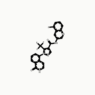 O=C(Nc1cnc2cccc(F)c2c1)c1cnn(-c2cccc3c(=O)[nH]ccc23)c1C(F)(F)F